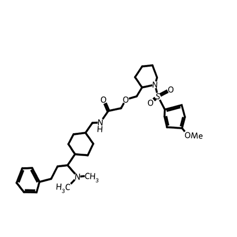 COc1ccc(S(=O)(=O)N2CCCCC2COCC(=O)NCC2CCC(C(CCc3ccccc3)N(C)C)CC2)cc1